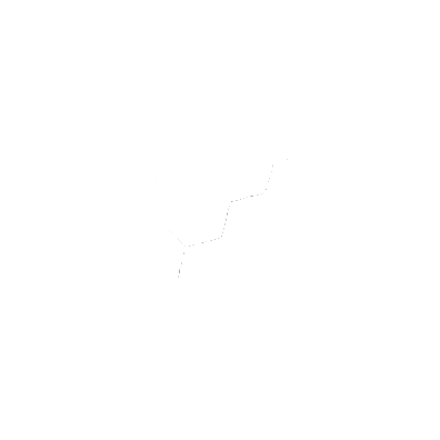 CCCCCCCC(O)CC.Cl